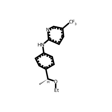 CCO[C@H](C)c1ccc(Nc2ccc(C(F)(F)F)cn2)cc1